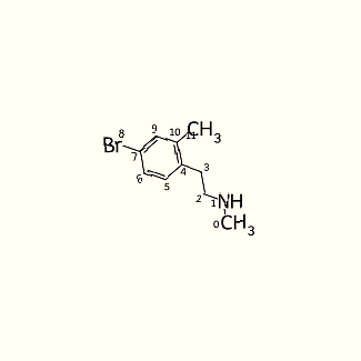 CNCCc1ccc(Br)cc1C